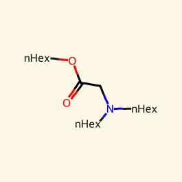 CCCCCCOC(=O)CN(CCCCCC)CCCCCC